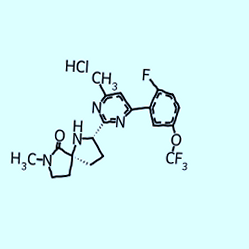 Cc1cc(-c2cc(OC(F)(F)F)ccc2F)nc([C@@H]2CC[C@@]3(CCN(C)C3=O)N2)n1.Cl